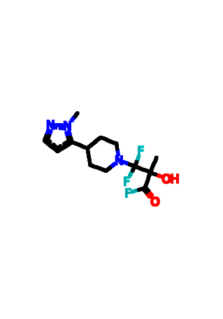 Cn1nccc1C1CCN(C(F)(F)C(C)(O)C(=O)F)CC1